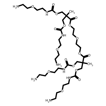 CC(COC(=O)NCCOCCN)(COC(=O)NCCOCCN)C(=O)OCCOCCOC(=O)C(C)(COC(=O)NCCOCCN)COC(=O)NCCOCCN